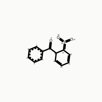 O=C(c1ccccc1)C1C=CC=CC1=S(=O)=O